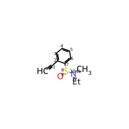 C#Cc1ccccc1[S+]([O-])N(C)CC